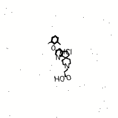 Cc1cccc(C)c1Oc1cnc2c(c1)CCC21CCN(CCC(=O)O)CC1.Cl